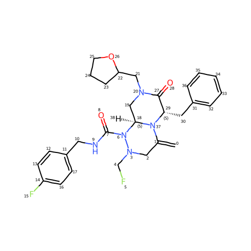 C=C1CN(CF)N(C(=O)NCc2ccc(F)cc2)[C@H]2CN(CC3CCCO3)C(=O)[C@H](Cc3ccccc3)N12